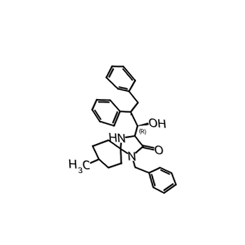 CC1CCC2(CC1)NC([C@H](O)[C](Cc1ccccc1)c1ccccc1)C(=O)N2Cc1ccccc1